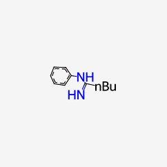 CCCCC(=N)Nc1ccccc1